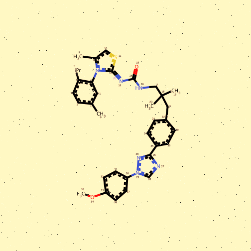 Cc1ccc(C(C)C)c(-n2c(C)cs/c2=N\C(=O)NCC(C)(C)Cc2ccc(-c3ncn(-c4ccc(OC(F)(F)F)cc4)n3)cc2)c1